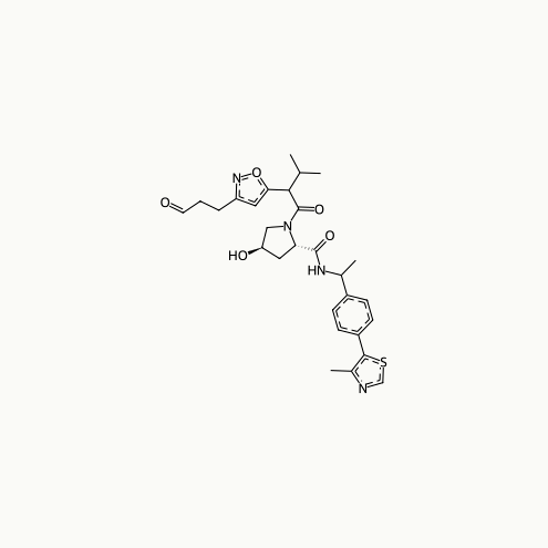 Cc1ncsc1-c1ccc(C(C)NC(=O)[C@@H]2C[C@@H](O)CN2C(=O)C(c2cc(CCC=O)no2)C(C)C)cc1